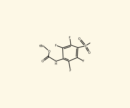 CC(C)(C)OC(=O)Nc1c(F)c(F)c(S(C)(=O)=O)c(F)c1F